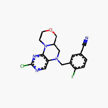 N#Cc1ccc(F)c(CN2CC3COCCN3c3nc(Cl)ncc32)c1